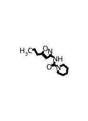 CCCc1cc(NC(=O)N2CCCCC2)no1